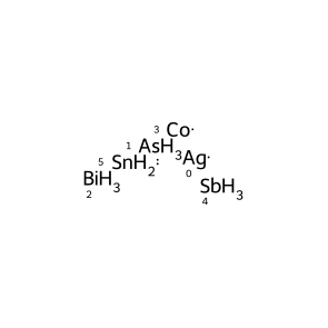 [Ag].[AsH3].[BiH3].[Co].[SbH3].[SnH2]